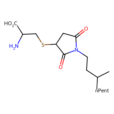 CCCCCC(C)CCN1C(=O)CC(SCC(N)C(=O)O)C1=O